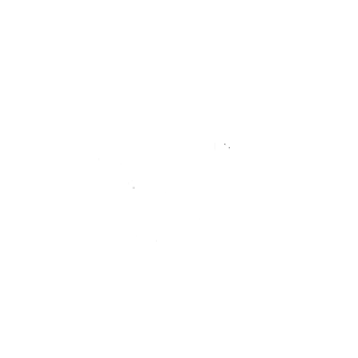 CO[SiH](OC)C(C)CCNC=O